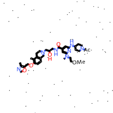 COCCN(C)c1cc(C(=O)NCC(O)CN2CCc3c(ccc(OCc4ocnc4C)c3C)C2)cc(NC2CCN(C(C)=O)CC2)n1